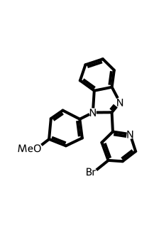 COc1ccc(-n2c(-c3cc(Br)ccn3)nc3ccccc32)cc1